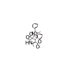 COC(=O)C1=C(C)NC(C)C(C(=O)OC)(c2nc(-c3ccccc3)c(C)s2)C1c1ccccc1